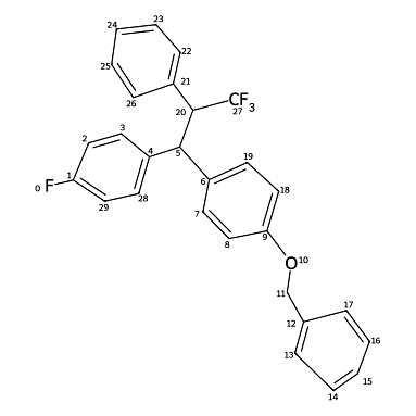 Fc1ccc(C(c2ccc(OCc3ccccc3)cc2)C(c2ccccc2)C(F)(F)F)cc1